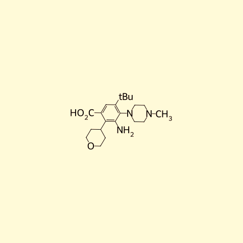 CN1CCN(c2c(C(C)(C)C)cc(C(=O)O)c(C3CCOCC3)c2N)CC1